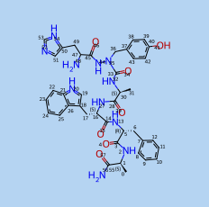 C[C@H](NC(=O)[C@@H](Cc1ccccc1)NC(=O)[C@H](Cc1c[nH]c2ccccc12)NC(=O)[C@H](C)NC(=O)N(Cc1ccc(O)cc1)NC(=O)C(N)Cc1cnc[nH]1)C(N)=O